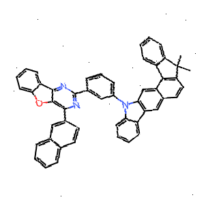 CC1(C)c2ccccc2-c2c1ccc1cc3c4ccccc4n(-c4cccc(-c5nc(-c6ccc7ccccc7c6)c6oc7ccccc7c6n5)c4)c3cc21